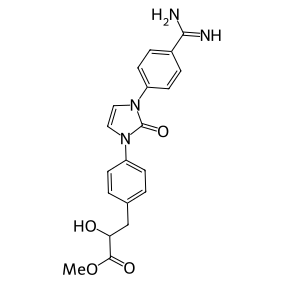 COC(=O)C(O)Cc1ccc(-n2ccn(-c3ccc(C(=N)N)cc3)c2=O)cc1